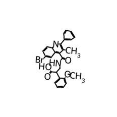 COc1ccccc1C(CNC(=O)c1c(C)c(-c2ccccc2)nc2ccc(Br)cc12)C(=O)O